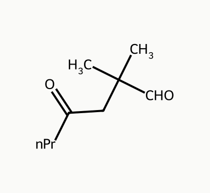 CCCC(=O)CC(C)(C)C=O